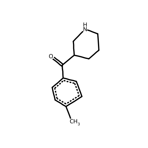 Cc1ccc(C(=O)C2CCCNC2)cc1